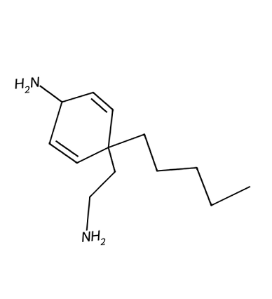 CCCCCC1(CCN)C=CC(N)C=C1